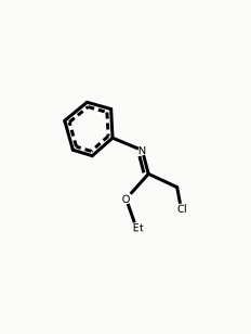 CCOC(CCl)=Nc1ccccc1